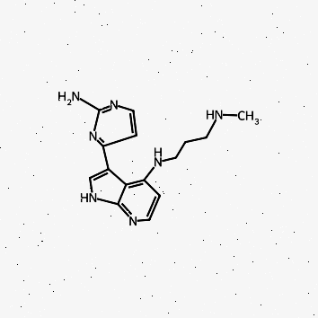 CNCCCNc1ccnc2[nH]cc(-c3ccnc(N)n3)c12